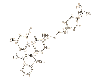 O=C(O)c1ccccc1C(=O)Nc1cnc(NCCNc2ccc([NH+]([O-])O)cn2)nc1-c1ccc(Cl)cc1Cl